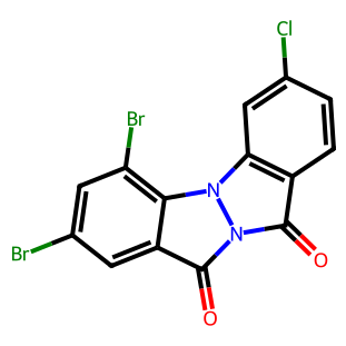 O=c1c2ccc(Cl)cc2n2c3c(Br)cc(Br)cc3c(=O)n12